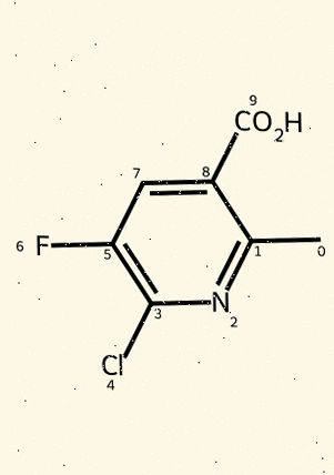 Cc1nc(Cl)c(F)cc1C(=O)O